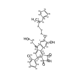 CN(CCCOc1cc2c(cc1O)c1c3c(c(-c4ccccc4Cl)cc1n2CCO)C(=O)NC3=O)Cc1ccccc1